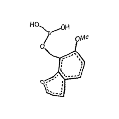 COc1ccc2ccoc2c1OB(O)O